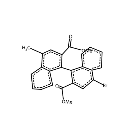 COC(=O)c1cc(C)c2ccccc2c1-c1c(C(=O)OC)cc(Br)c2ccccc12